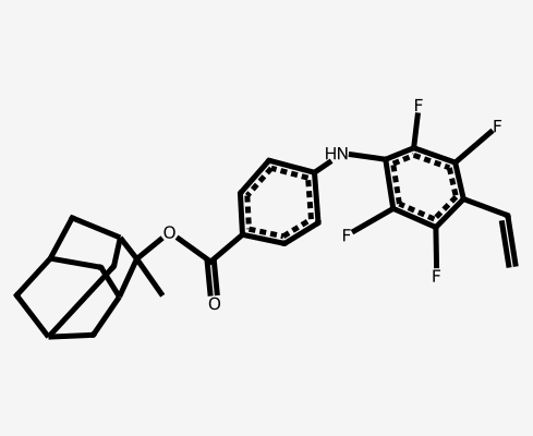 C=Cc1c(F)c(F)c(Nc2ccc(C(=O)OC3(C)C4CC5CC(C4)CC3C5)cc2)c(F)c1F